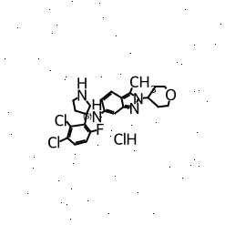 Cc1c2ccc(N[C@]3(c4c(F)ccc(Cl)c4Cl)CCNC3)cc2nn1C1CCOCC1.Cl